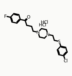 Cl.Cl.O=C(CCCN1CCN(CCSc2ccc(Cl)cc2)CC1)c1ccc(F)cc1